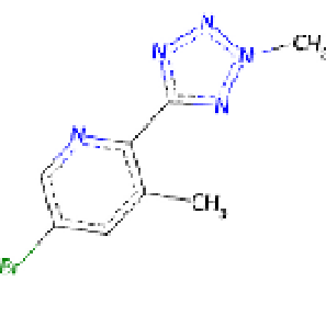 Cc1cc(Br)cnc1-c1nnn(C)n1